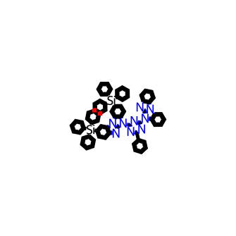 c1ccc(-c2nc(-n3c4ccccc4n4c5ccccc5nc34)nc(-n3c4ccc([Si](c5ccccc5)(c5ccccc5)c5ccccc5)cc4n4c5cc([Si](c6ccccc6)(c6ccccc6)c6ccccc6)ccc5nc34)n2)cc1